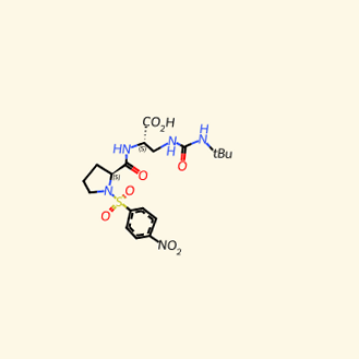 CC(C)(C)NC(=O)NC[C@H](NC(=O)[C@@H]1CCCN1S(=O)(=O)c1ccc([N+](=O)[O-])cc1)C(=O)O